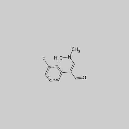 CN(C)/C=C(/C=O)c1cccc(F)c1